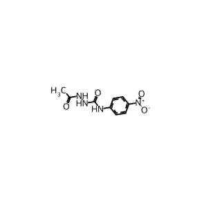 CC(=O)NNC(=O)Nc1ccc([N+](=O)[O-])cc1